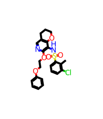 Cc1c(Cl)cccc1S(=O)(=O)Nc1c(OCCOc2ccccc2)ncc2c1OCCC2